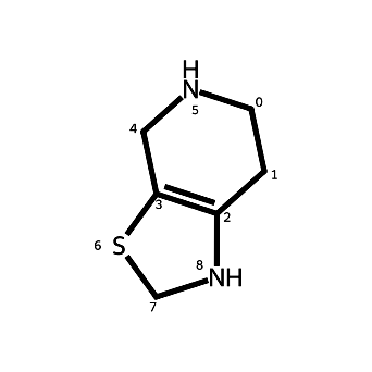 C1CC2=C(CN1)SCN2